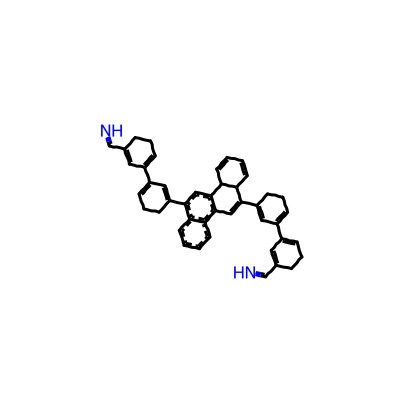 N=CC1=CC(C2=CCCC(C3=Cc4c(cc(C5=CC(C6=CCCC(C=N)=C6)=CCC5)c5ccccc45)C4C=CC=CC34)=C2)=CCC1